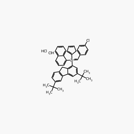 CC(C)(C)c1ccc2c(c1)-c1cc(C(C)(C)C)c[c]([Zr](=[CH]c3ccc(Cl)cc3)([C]3=CC=CC3)[c]3cccc4ccccc34)c1C2.Cl.Cl